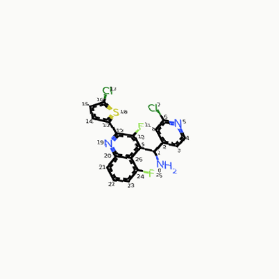 NC(c1ccnc(Cl)c1)c1c(F)c(-c2ccc(Cl)s2)nc2cccc(F)c12